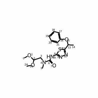 COC(CN(C)C(=O)Nc1nnc(C(C)Oc2ccccc2)s1)OC